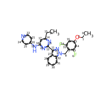 CCOc1cc(F)c(Cn2nc(-c3nc(CC)cc(Nc4ccncc4)n3)c3ccccc32)c(F)c1